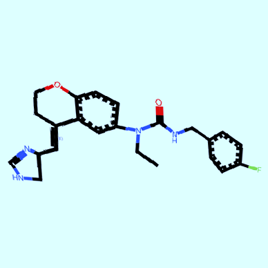 CCN(C(=O)NCc1ccc(F)cc1)c1ccc2c(c1)/C(=C/C1CNC=N1)CCO2